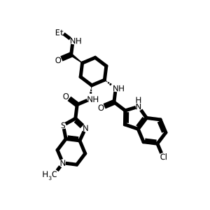 CCNC(=O)[C@H]1CC[C@H](NC(=O)c2cc3cc(Cl)ccc3[nH]2)[C@H](NC(=O)c2nc3c(s2)CN(C)CC3)C1